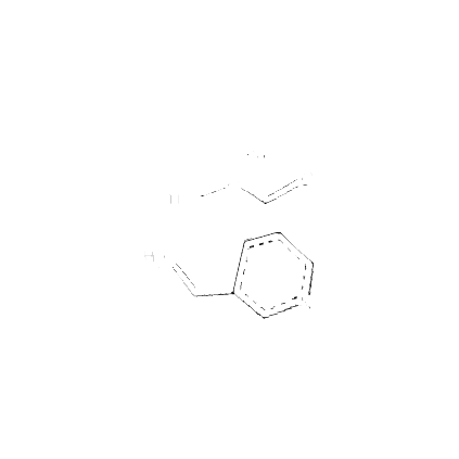 C=Cc1cccnc1.COC=O.[Pd]